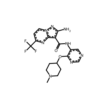 CN1CCC(Oc2ncncc2NC(=O)c2c(N)nn3ccc(C(F)(F)F)nc23)CC1